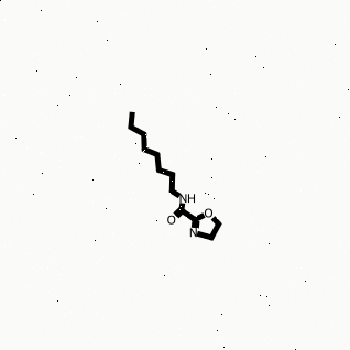 CCCCCCCCNC(=O)C1=NCCO1